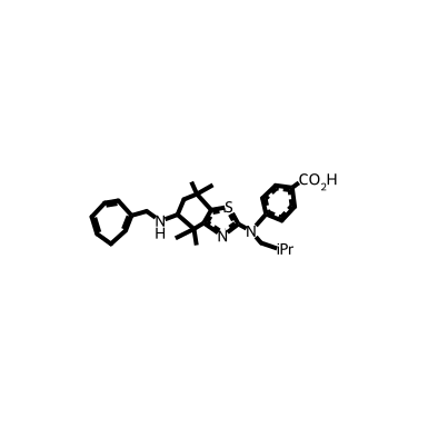 CC(C)CN(c1ccc(C(=O)O)cc1)c1nc2c(s1)C(C)(C)CC(NCC1=CCC=CC=C1)C2(C)C